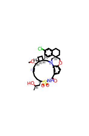 CO[C@H]1/C=C\CC[C@H](C[C@@H](C)O)S(=O)(=O)NC(=O)c2ccc3c(c2)N(C[C@@H]2CC[C@H]21)C[C@@]1(CCCc2cc(Cl)ccc21)CO3